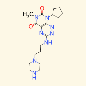 Cn1c(=O)c2nc(NCCCN3CCNCC3)nnc2n(C2CCCC2)c1=O